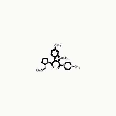 COC[C@H]1CCCN1C(=O)c1c(C(=O)N2CCN(C)CC2)n(C)c2cc(OC)ccc12